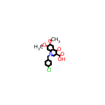 COc1cc2c(=O)c(C(=O)O)cn(Cc3ccc(Cl)cc3)c2cc1OC